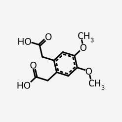 COc1cc(CC(=O)O)c(CC(=O)O)cc1OC